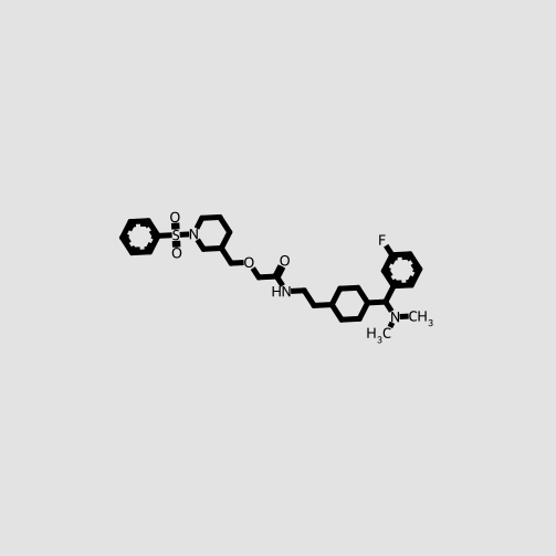 CN(C)C(c1cccc(F)c1)C1CCC(CCNC(=O)COCC2CCCN(S(=O)(=O)c3ccccc3)C2)CC1